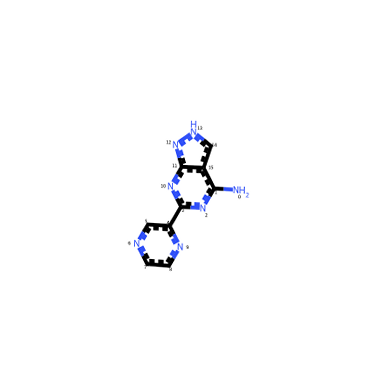 Nc1nc(-c2cnccn2)nc2n[nH]cc12